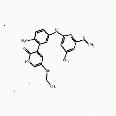 CCNc1c[nH]c(=O)c(-c2cc(Nc3nc(C)cc(NC)n3)ccc2C)c1